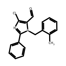 Cc1ccccc1Cn1c(-c2ccccc2)nc(Cl)c1C=O